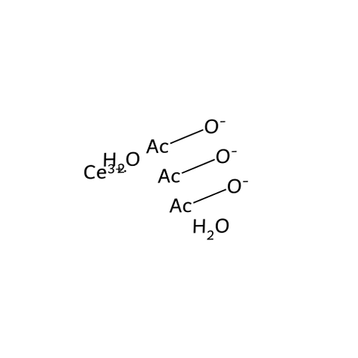 CC(=O)[O-].CC(=O)[O-].CC(=O)[O-].O.O.[Ce+3]